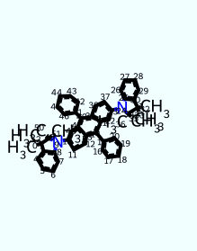 CC1(C)c2ccccc2N(c2ccc3c(-c4ccccc4)c4cc(N5c6ccccc6C(C)(C)C5(C)C)ccc4c(-c4ccccc4)c3c2)C1(C)C